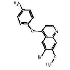 COc1cc2nccc(Oc3ccc(N)cn3)c2cc1Br